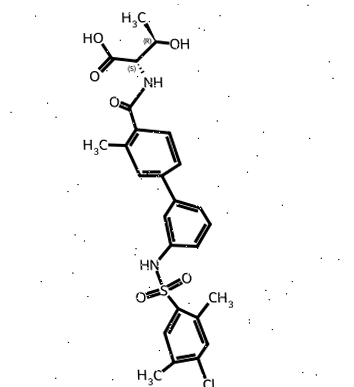 Cc1cc(S(=O)(=O)Nc2cccc(-c3ccc(C(=O)N[C@H](C(=O)O)[C@@H](C)O)c(C)c3)c2)c(C)cc1Cl